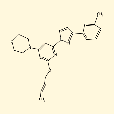 CC=CCOc1nc(N2CCOCC2)cc(-n2ccc(-c3cccc(C)c3)n2)n1